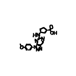 COc1ccc(-n2nnc3cnc(N[C@H]4CC[C@@H](C(=O)O)C4)nc32)cc1